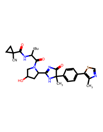 Cc1ncsc1-c1ccc(C2(C)NC(C3CC(O)CN3C(=O)C(NC(=O)C3(C#N)CC3)C(C)(C)C)=NC2=O)cc1